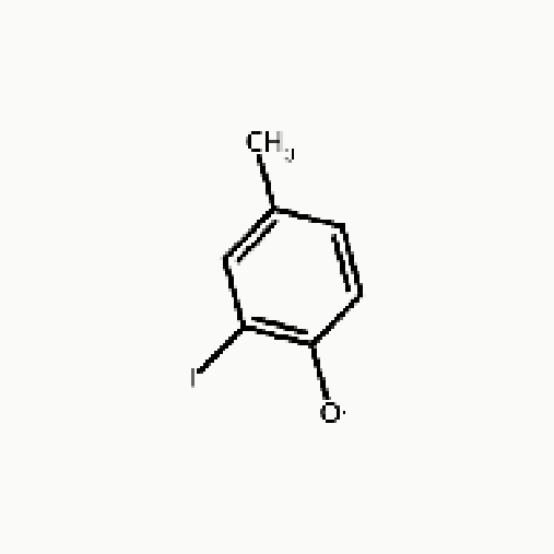 Cc1ccc([O])c(I)c1